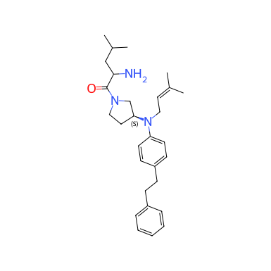 CC(C)=CCN(c1ccc(CCc2ccccc2)cc1)[C@H]1CCN(C(=O)C(N)CC(C)C)C1